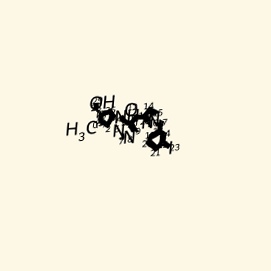 C[C@H]1C[C@H](Nc2ncncc2C(=O)c2ccn(Cc3cccc(I)c3)n2)C[C@@H]1CO